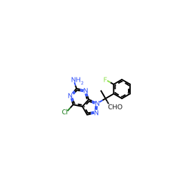 CC(C=O)(c1ccccc1F)n1ncc2c(Cl)nc(N)nc21